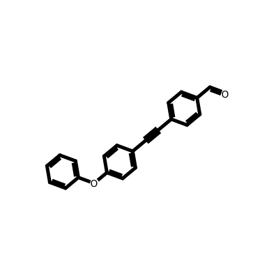 O=Cc1ccc(C#Cc2ccc(Oc3ccccc3)cc2)cc1